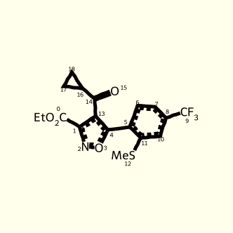 CCOC(=O)c1noc(-c2ccc(C(F)(F)F)cc2SC)c1C(=O)C1CC1